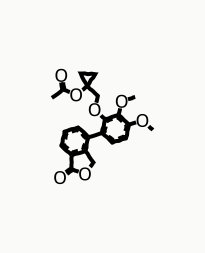 COc1ccc(-c2cccc3c2COC3=O)c(OCC2(OC(C)=O)CC2)c1OC